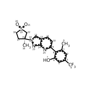 Cc1cc(C(F)(F)F)cc(O)c1-c1ccc2cn([C@@]3(C)CCS(=O)(=O)C3)nc2n1